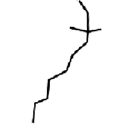 [CH2]CC(C)(C)CCCCCCC